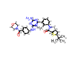 Cc1c(-c2nc(N)nc(Nc3ccc(C(=O)N4CCOCC4)cc3)n2)cccc1N1Cc2cc(C(C)(C)C)sc2C1=O